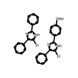 CCc1[nH]c(-c2ccc(OC)cc2)nc1-c1ccccc1.CCc1[nH]c(-c2ccccc2)nc1-c1ccccc1